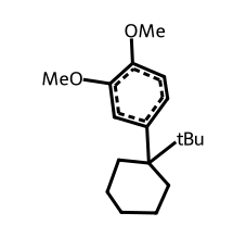 COc1ccc(C2(C(C)(C)C)CCCCC2)cc1OC